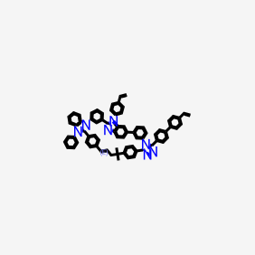 C=Cc1ccc(-c2ccc(-c3nnc(-c4ccc(C(C)(C)C/C=C/c5ccc(-c6nc7ccccc7n6-c6ccccc6)cc5)cc4)n3-c3cccc(-c4ccc5nc(-c6ccccc6)n(-c6ccc(C=C)cc6)c5c4)c3)cc2)cc1